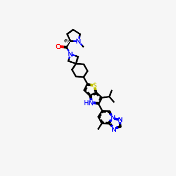 Cc1cc(-c2[nH]c3cc(C4CCC5(CC4)CN(C(=O)[C@H]4CCCN4C)C5)sc3c2C(C)C)cn2ncnc12